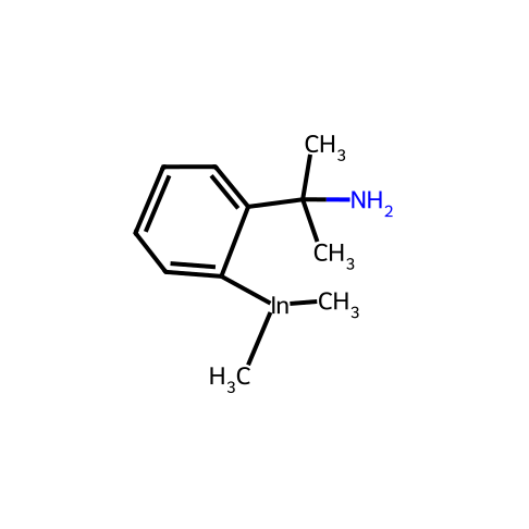 [CH3][In]([CH3])[c]1ccccc1C(C)(C)N